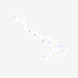 COCCCC#Cc1ccc(C2=CCN(CCC(C)(C(N)=O)S(C)(=O)=O)CC2)cc1